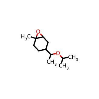 CC(C)OC(C)C1CCC2(C)OC2C1